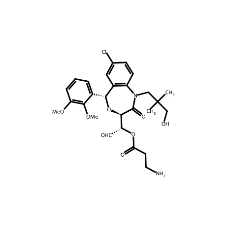 COc1cccc([C@H]2O[C@H]([C@@H](C=O)OC(=O)CCN)C(=O)N(CC(C)(C)CO)c3ccc(Cl)cc32)c1OC